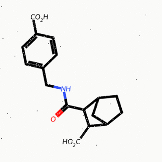 O=C(O)c1ccc(CNC(=O)C2C3CCC(C3)C2C(=O)O)cc1